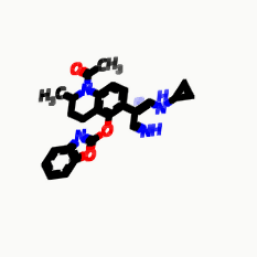 CC(=O)N1c2ccc(/C(C=N)=C/NC3CC3)c(Oc3nc4ccccc4o3)c2CCC1C